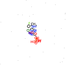 C[C@H](Nc1cc(Cl)nc2c1cnn2[C@@H]1O[C@@H](COP(=O)(O)CP(=O)(O)O)C[C@@]1(O)N=[N+]=[N-])c1ccccc1F